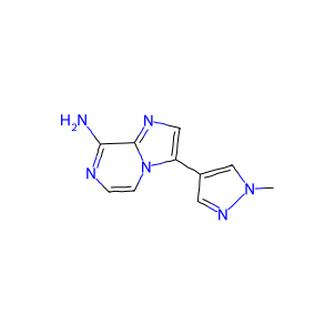 Cn1cc(-c2cnc3c(N)nccn23)cn1